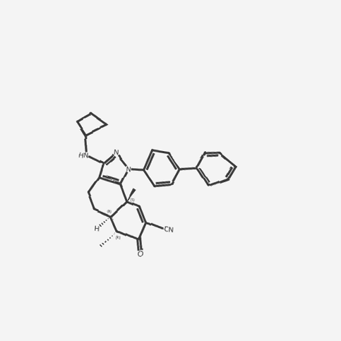 C[C@H]1C(=O)C(C#N)=C[C@@]2(C)c3c(c(NC4CCC4)nn3-c3ccc(-c4ccccc4)cc3)CC[C@H]12